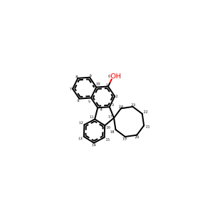 Oc1cc2c(c3ccccc13)-c1ccccc1C21CCCCCCC1